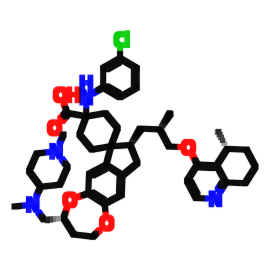 C[C@@H](COc1ccnc2c1[C@H](C)CCC2)C[C@H]1Cc2cc3c(cc2C12CCC(Nc1cccc(Cl)c1)(C(=O)O)CC2)O[C@@H](CN(C)C1CCN(C)CC1)CCO3